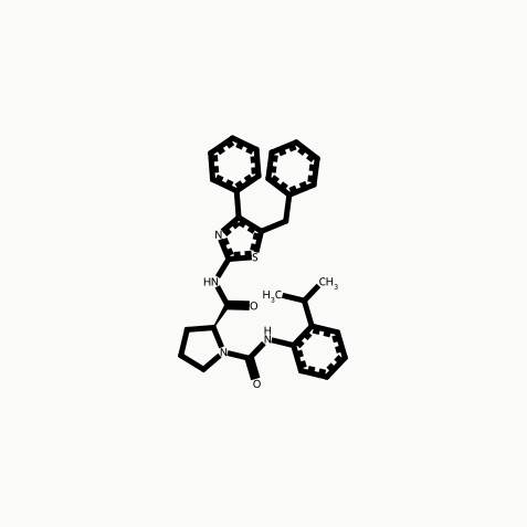 CC(C)c1ccccc1NC(=O)N1CCC[C@H]1C(=O)Nc1nc(-c2ccccc2)c(Cc2ccccc2)s1